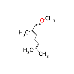 CO/C=C/C(C)=CCC=C(C)C